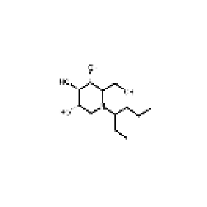 CCCC(CC)N1C[C@H](O)[C@@H](O)[C@H](O)C1CO